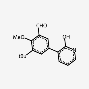 COc1c(C=O)cc(-c2cccnc2O)cc1C(C)(C)C